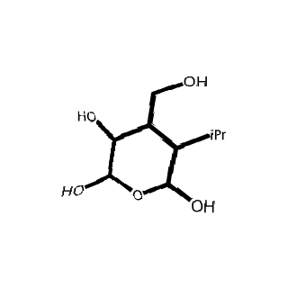 CC(C)C1C(O)OC(O)C(O)C1CO